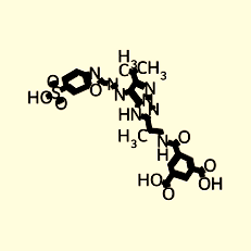 CC(C)c1nn2nc(C(C)CNC(=O)c3cc(C(=O)O)cc(C(=O)O)c3)[nH]c2c1N=Nc1nc2ccc(S(=O)(=O)O)cc2o1